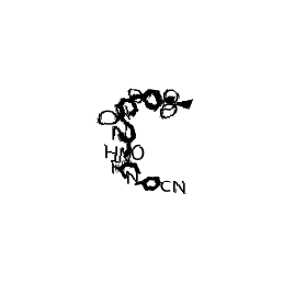 N#Cc1ccc(CN2CC[C@@H](NC(=O)c3ccc(C(=O)N4CCC(Oc5ccc(S(=O)(=O)C6CC6)cc5)CC4)nc3)[C@H](F)C2)cc1